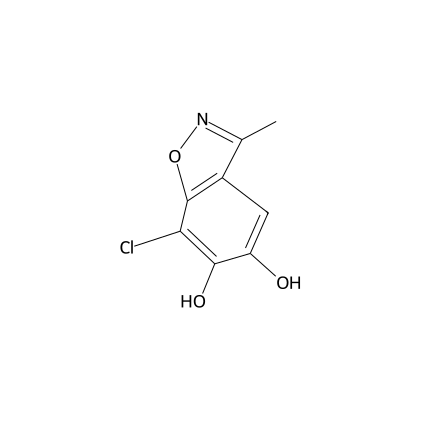 Cc1noc2c(Cl)c(O)c(O)cc12